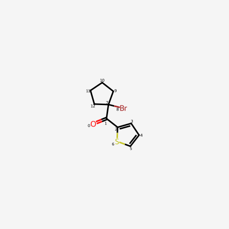 O=C(c1cccs1)C1(Br)CCCC1